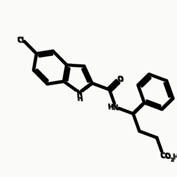 O=C(O)CCC(NC(=O)c1cc2cc(Cl)ccc2[nH]1)c1ccccc1